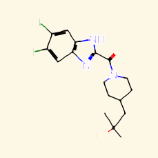 CC(C)(O)CC1CCN(C(=O)c2nc3cc(Cl)c(Cl)cc3[nH]2)CC1